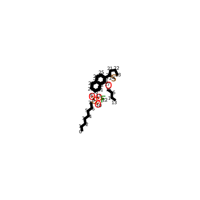 CCCCCCCCS(=O)(=O)OF.CCCCOc1c(C2CCCS2)ccc2ccccc12